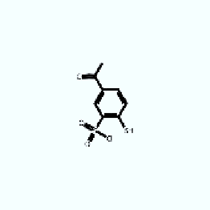 CC(=O)c1ccc(S)c(S(=O)(=O)Cl)c1